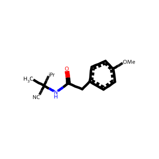 COc1ccc(CC(=O)NC(C)(C#N)C(C)C)cc1